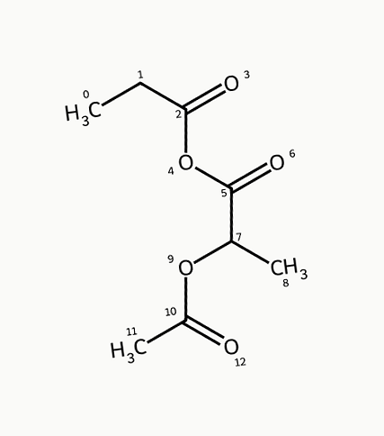 CCC(=O)OC(=O)C(C)OC(C)=O